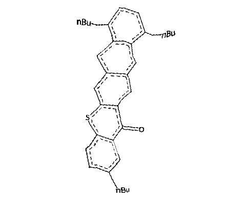 CCCCc1ccc2sc3cc4cc5c(CCCC)ccc(CCCC)c5cc4cc3c(=O)c2c1